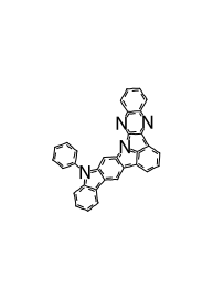 c1ccc(-n2c3ccccc3c3cc4c5cccc6c7nc8ccccc8nc7n(c4cc32)c56)cc1